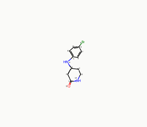 O=C1CC(Nc2ccc(Br)cc2)CCN1